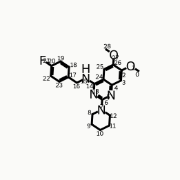 COc1cc2nc(N3CCCCC3)nc(NCc3ccc(F)cc3)c2cc1OC